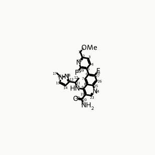 COCc1ccc(-c2cc3c(NC(C)c4ccn(C)n4)c(C(N)=O)cnc3cc2F)c(F)n1